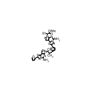 CCC(C(=O)OC)n1ncc2c1nc(N)n1nc(-c3ccc(CC(C)C(C(=O)O)n4ncc5c4nc(N)n4nc(-c6ccco6)nc54)o3)nc21